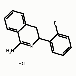 Cl.NC1=NC(c2ccccc2F)Cc2ccccc21